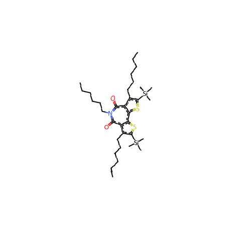 CCCCCCc1c([Si](C)(C)C)sc2c1c(=O)n(CCCCCC)c(=O)c1c(CCCCCC)c([Si](C)(C)C)sc12